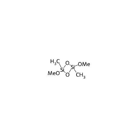 CO[Si]1(C)O[Si](C)(OC)O1